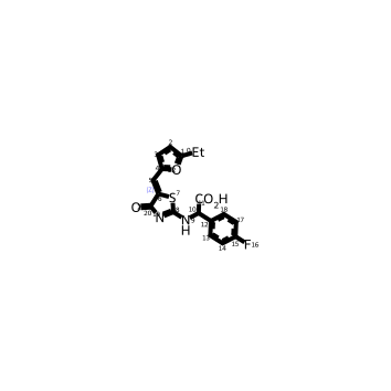 CCc1ccc(/C=C2\SC(NC(C(=O)O)c3ccc(F)cc3)=NC2=O)o1